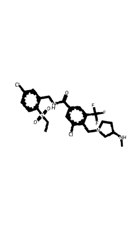 CCS(=O)(=O)c1ccc(Cl)cc1CNC(=O)c1cc(Cl)c(CN2CCC(NC)C2)c(C(F)(F)F)c1